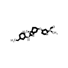 CCc1cccc(Nc2nc3cc(Oc4ccnc(N(C)C=O)c4)ccc3n2C)c1